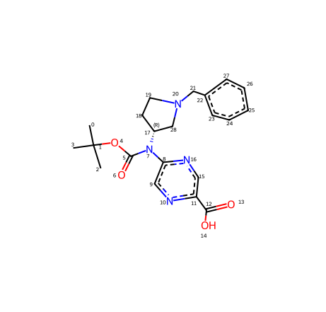 CC(C)(C)OC(=O)N(c1cnc(C(=O)O)cn1)[C@@H]1CCN(Cc2ccccc2)C1